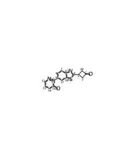 O=C1CC(c2nc3ccc(-n4ncccc4=O)cc3s2)C1